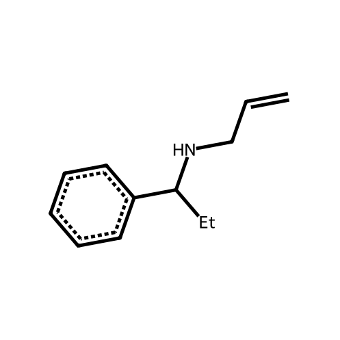 C=CCNC(CC)c1ccccc1